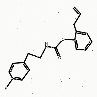 C=CCc1ccccc1OC(=O)NCCc1ccc(F)cc1